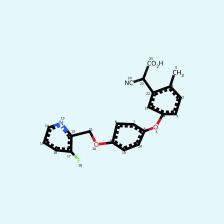 Cc1ccc(Oc2ccc(OCc3ncccc3F)cc2)cc1C(C#N)C(=O)O